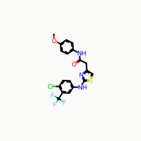 COc1ccc(NC(=O)Cc2csc(Nc3ccc(Cl)c(C(F)(F)F)c3)n2)cc1